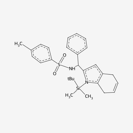 Cc1ccc(S(=O)(=O)NC(c2ccccc2)c2cc3c(n2[Si](C)(C)C(C)(C)C)CC=CC3)cc1